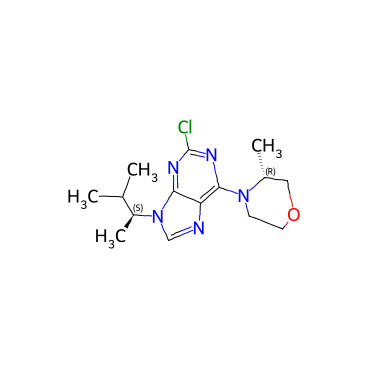 CC(C)[C@H](C)n1cnc2c(N3CCOC[C@H]3C)nc(Cl)nc21